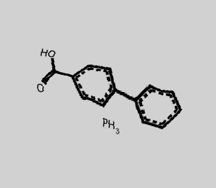 O=C(O)c1ccc(-c2ccccc2)cc1.P